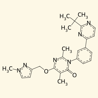 Cc1c(OCc2ccn(C)n2)nc(C)n(-c2cccc(-c3ccnc(C(C)(C)C)n3)c2)c1=O